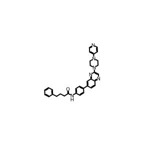 O=C(CCCc1ccccc1)Nc1ccc(-c2ccc3ncc(N4CCN(c5ccncc5)CC4)nc3c2)cc1